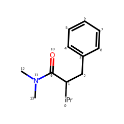 CC(C)C(Cc1ccccc1)C(=O)N(C)C